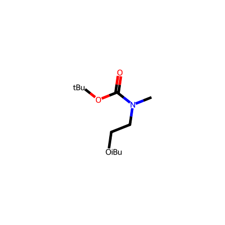 CC(C)COCCN(C)C(=O)OC(C)(C)C